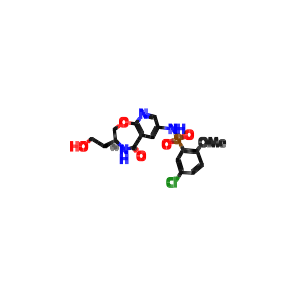 COc1ccc(Cl)cc1S(=O)(=O)Nc1cnc2c(c1)C(=O)N[C@@H](CCO)CO2